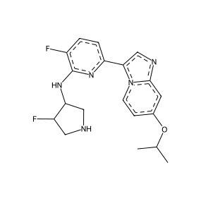 CC(C)Oc1ccn2c(-c3ccc(F)c(NC4CNCC4F)n3)cnc2c1